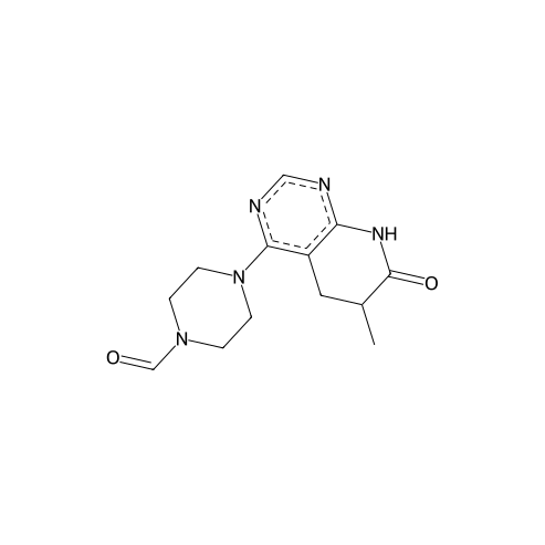 CC1Cc2c(ncnc2N2CCN(C=O)CC2)NC1=O